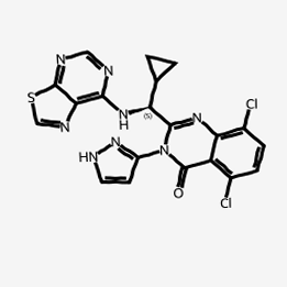 O=c1c2c(Cl)ccc(Cl)c2nc([C@@H](Nc2ncnc3scnc23)C2CC2)n1-c1cc[nH]n1